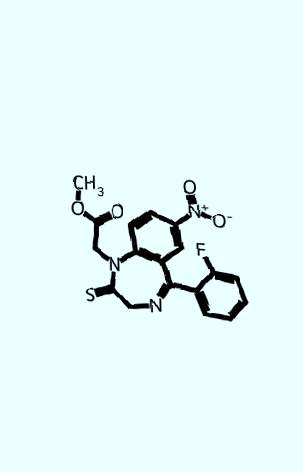 COC(=O)CN1C(=S)CN=C(c2ccccc2F)c2cc([N+](=O)[O-])ccc21